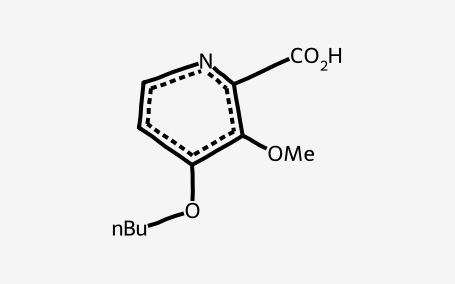 CCCCOc1ccnc(C(=O)O)c1OC